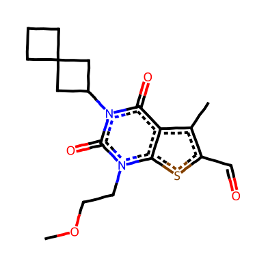 COCCn1c(=O)n(C2CC3(CCC3)C2)c(=O)c2c(C)c(C=O)sc21